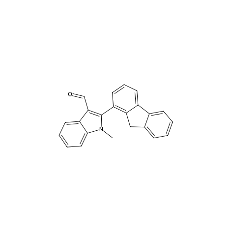 Cn1c(-c2cccc3c2Cc2ccccc2-3)c(C=O)c2ccccc21